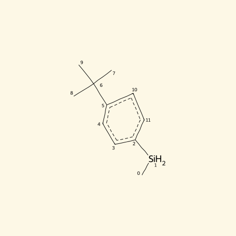 C[SiH2]c1ccc(C(C)(C)C)cc1